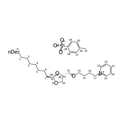 CCCCCCCCCCCCCCCCC[C@@H]1OC[C@@H](COCCCC[n+]2ccccc2)O1.Cc1ccc(S(=O)(=O)[O-])cc1